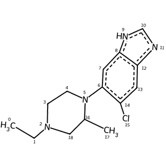 CCN1CCN(c2cc3[nH]cnc3cc2Cl)C(C)C1